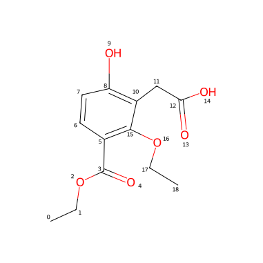 CCOC(=O)c1ccc(O)c(CC(=O)O)c1OCC